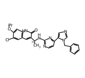 CC(C)Oc1cc2[nH]c(=O)c([C@H](C)Nc3nccc(-c4cncn4Cc4ccccc4)n3)cc2cc1Cl